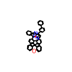 c1ccc(-c2cccc(-c3cc(-c4cccc5c4-c4c(-c6cccc7cccnc67)cccc4C54c5ccccc5Oc5ccccc54)nc(-c4ccccc4)n3)c2)cc1